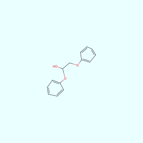 OC(COc1ccccc1)Oc1ccccc1